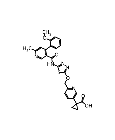 COc1ccccc1-c1cc(C)ncc1C(=O)Nc1nnc(OCc2ccc(C3(C(=O)O)CC3)cn2)s1